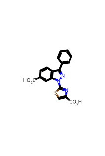 O=C(O)c1ccc2c(-c3ccccc3)nn(-c3nc(C(=O)O)cs3)c2c1